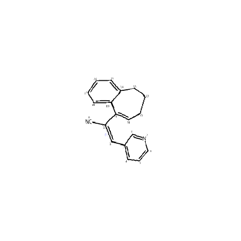 N#C/C(=C/c1cccnc1)C1=CCCCc2ccccc21